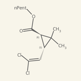 CCCCCOC(=O)[C@@H]1[C@@H](C=C(Cl)Cl)C1(C)C